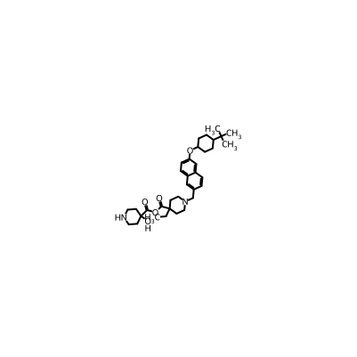 CCC1(C(=O)OC(=O)C2(O)CCNCC2)CCN(Cc2ccc3cc(OC4CCC(C(C)(C)C)CC4)ccc3c2)CC1